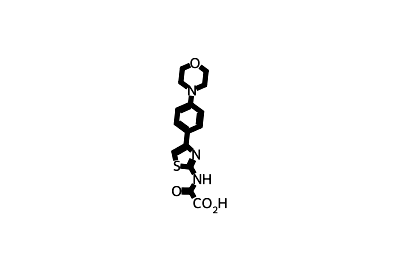 O=C(O)C(=O)Nc1nc(-c2ccc(N3CCOCC3)cc2)cs1